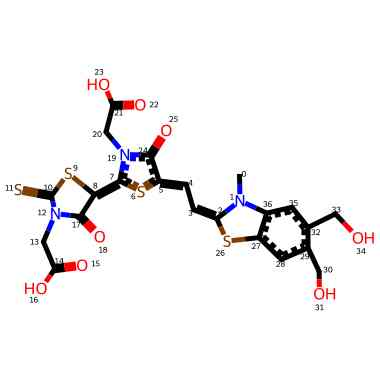 CN1C(=CC=c2s/c(=C3/SC(=S)N(CC(=O)O)C3=O)n(CC(=O)O)c2=O)Sc2cc(CO)c(CO)cc21